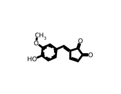 COc1cc(/C=C2\C=CC(=O)C2=O)ccc1O